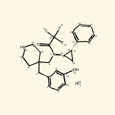 Cl.O=C(N(CC1(Cc2cccc(O)c2)CCNCC1)[C@@H]1C[C@H]1c1ccccc1)C(F)(F)F